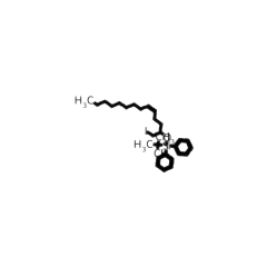 CCCCCCCC/C=C\CCC(CI)O[Si](c1ccccc1)(c1ccccc1)C(C)(C)C